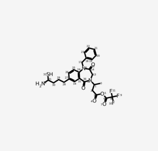 CC(CC(=O)OC(=O)C(F)(F)F)N1CC(=O)N(Cc2ccccc2)c2ccc(CCCC(N)S)cc2C1=O